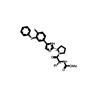 COC(=O)N[C@H](C(=O)N1CCC[C@H]1c1ncc(-c2ccc(I)c(Sc3ccccc3)c2)[nH]1)C(C)C